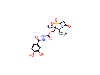 CC1(COC(=O)NNC(=O)c2ccc(O)c(O)c2Cl)C(C(=O)O)N2C(=O)CC2S1(=O)=O